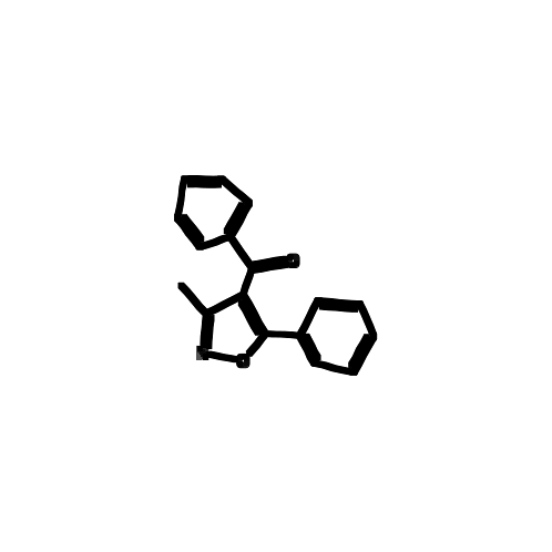 Cc1noc(-c2ccccc2)c1C(=O)c1ccccc1